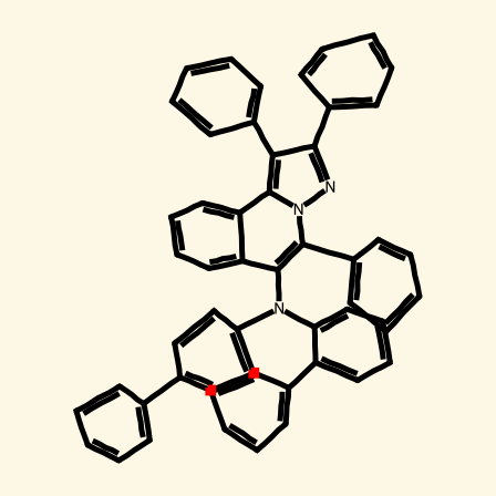 c1ccc(-c2ccc(N(c3ccccc3-c3ccccc3)c3c(-c4ccccc4)n4nc(-c5ccccc5)c(-c5ccccc5)c4c4ccccc34)cc2)cc1